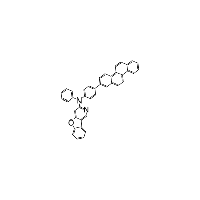 c1ccc(N(c2ccc(-c3ccc4c(ccc5c6ccccc6ccc45)c3)cc2)c2cc3oc4ccccc4c3cn2)cc1